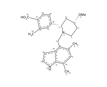 CO[C@@H]1CCN(Cc2c(C)cc(C)c3[nH]ccc23)[C@H](c2ccc(C(=O)O)c(C)c2)C1